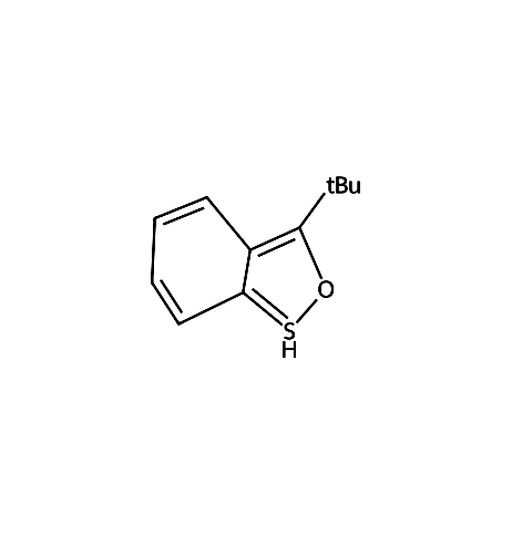 CC(C)(C)C1=c2ccccc2=[SH]O1